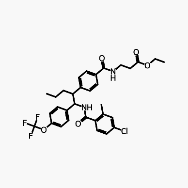 CCCC(c1ccc(C(=O)NCCC(=O)OCC)cc1)C(NC(=O)c1ccc(Cl)cc1C)c1ccc(OC(F)(F)F)cc1